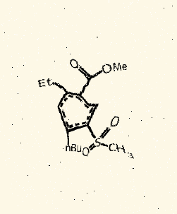 CCCCc1cc(CC)c(C(=O)OC)cc1S(C)(=O)=O